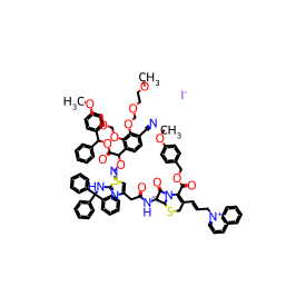 COCCOCOc1c(C#N)ccc(C(ON=S2C=C(CC(=O)N[C@H]3C(=O)N4C(C(=O)OCc5ccc(OC)cc5)=C(C=CC[n+]5cccc6ccccc65)CSC34)N=C2NC(c2ccccc2)(c2ccccc2)c2ccccc2)C(=O)OC(c2ccccc2)c2ccccc2)c1OCOCCOC.[I-]